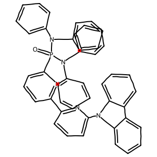 O=P(c1cccc(-c2cccc(-n3c4ccccc4c4ccccc43)n2)n1)(N(c1ccccc1)c1ccccc1)N(c1ccccc1)c1ccccc1